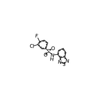 O=S(=O)(Nc1cccc2nsnc12)c1ccc(F)c(Cl)c1